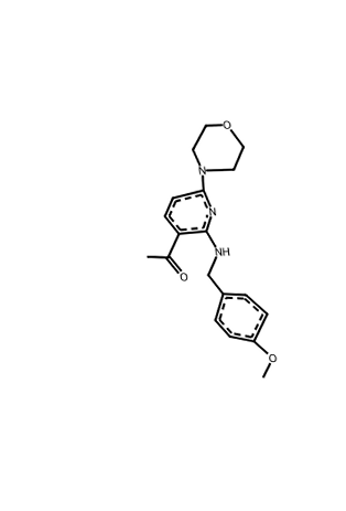 COc1ccc(CNc2nc(N3CCOCC3)ccc2C(C)=O)cc1